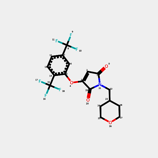 O=C1C=C(Oc2cc(C(F)(F)F)ccc2C(F)(F)F)C(=O)N1CC1CCOCC1